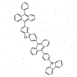 c1ccc(-c2c3ccccc3c(-c3ccc4oc5cc(-c6c7ccccc7c(-c7ccc(-n8c9ccccc9c9ccccc98)cc7)c7ccccc67)ccc5c4c3)c3ccccc23)cc1